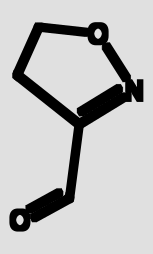 O=CC1=NOCC1